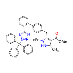 CCCN1NC(C)C(C(=O)OC)=C1Cc1ccc(-c2ccccc2-c2nnn(C(c3ccccc3)(c3ccccc3)c3ccccc3)n2)cc1